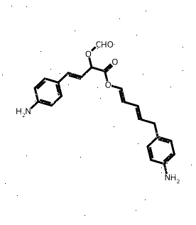 Nc1ccc(C=CC(O[C]=O)C(=O)OC=CC=CCc2ccc(N)cc2)cc1